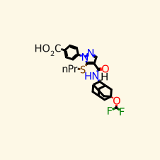 CCCSc1c(C(=O)N[C@H]2C3CC4CC2C[C@@](OC(F)F)(C4)C3)cnn1-c1ccc(C(=O)O)cc1